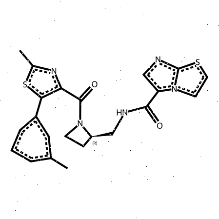 Cc1cccc(-c2sc(C)nc2C(=O)N2CC[C@@H]2CNC(=O)c2cnc3sccn23)c1